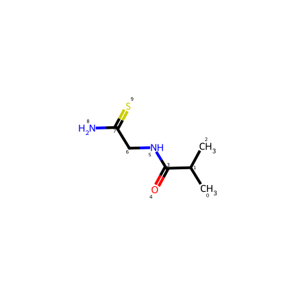 CC(C)C(=O)NCC(N)=S